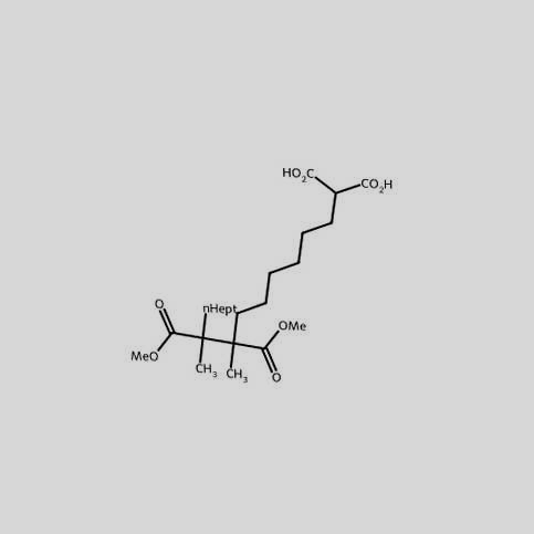 CCCCCCCC(C)(C(=O)OC)C(C)(CCCCCCC(C(=O)O)C(=O)O)C(=O)OC